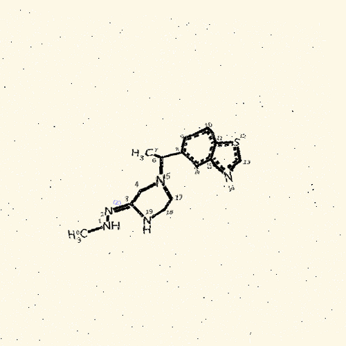 CN/N=C1/CN(C(C)c2ccc3scnc3c2)CCN1